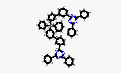 c1ccc(-c2nc(-c3ccccc3)nc(-c3cccc(-c4cccc([Si](c5ccccc5)(c5ccccc5)c5cccc(-c6cccc(-c7nc(-c8ccccc8)nc(-c8ccccc8)n7)c6)c5)c4)c3)n2)cc1